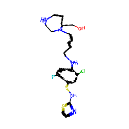 OCC1CCNCCN1CCCCNc1cc(F)c(SNc2nccs2)cc1Cl